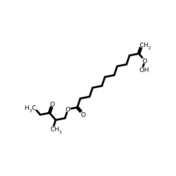 C=C(CCCCCCCCCC(=O)OCC(C)C(=O)CC)OO